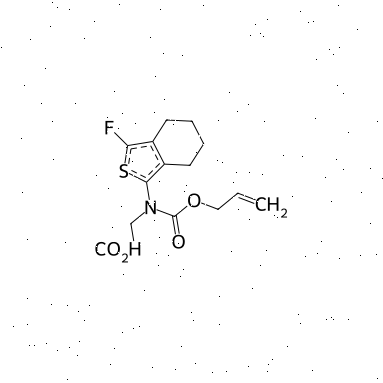 C=CCOC(=O)N(CC(=O)O)c1sc(F)c2c1CCCC2